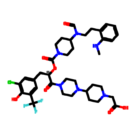 CNc1ccccc1CCN(C=O)C1CCN(C(=O)O[C@H](Cc2cc(Cl)c(O)c(C(F)(F)F)c2)C(=O)N2CCN(C3CCN(CC(=O)O)CC3)CC2)CC1